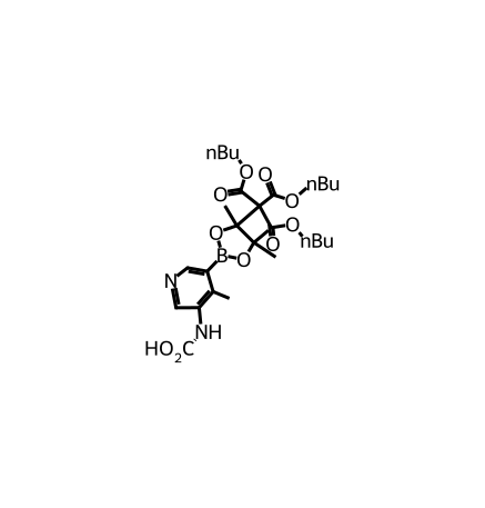 CCCCOC(=O)C(C(=O)OCCCC)(C(=O)OCCCC)C1(C)OB(c2cncc(NC(=O)O)c2C)OC1(C)C